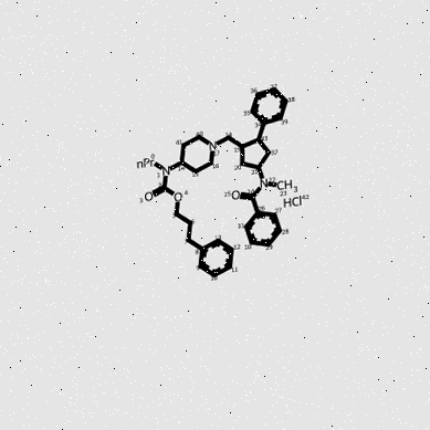 CCCN(C(=O)OCCCc1ccccc1)C1CCN(CC2CC(N(C)C(=O)c3ccccc3)CC2c2ccccc2)CC1.Cl